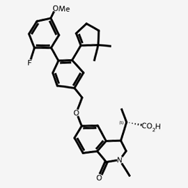 COc1ccc(F)c(-c2ccc(COc3ccc4c(c3)C([C@H](C)C(=O)O)CN(C)C4=O)cc2C2=CCCC2(C)C)c1